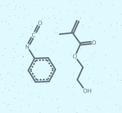 C=C(C)C(=O)OCCO.O=C=Nc1ccccc1